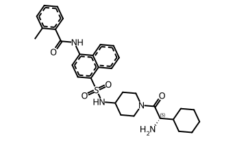 Cc1ccccc1C(=O)Nc1ccc(S(=O)(=O)NC2CCN(C(=O)[C@@H](N)C3CCCCC3)CC2)c2ccccc12